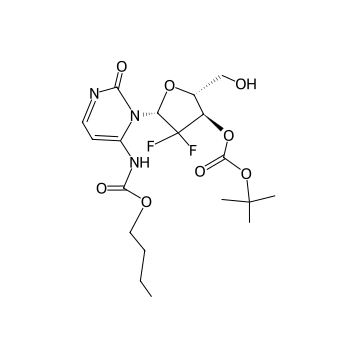 CCCCOC(=O)Nc1ccnc(=O)n1[C@@H]1O[C@H](CO)[C@@H](OC(=O)OC(C)(C)C)C1(F)F